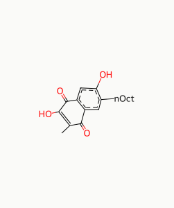 CCCCCCCCc1cc2c(cc1O)C(=O)C(O)=C(C)C2=O